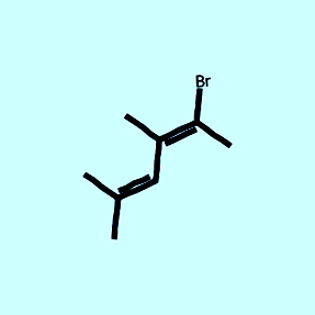 CC(C)=C/C(C)=C(\C)Br